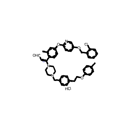 Cc1ccc(OCCc2ccc(CN3CCN(/C(=C/C=O)c4ccc(Oc5ccc(OCc6ccccc6Cl)cn5)cc4C)CC3)cc2)cc1.Cl